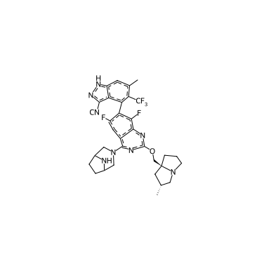 Cc1cc2[nH]nc(C#N)c2c(-c2c(F)cc3c(N4CC5CCC(C4)N5)nc(OC[C@@]45CCCN4C[C@H](C)C5)nc3c2F)c1C(F)(F)F